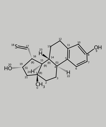 C[C@]12CC[C@@H]3c4ccc(O)cc4CC[C@H]3[C@@H]1[C@@H](C=S)[C@@H](O)C2